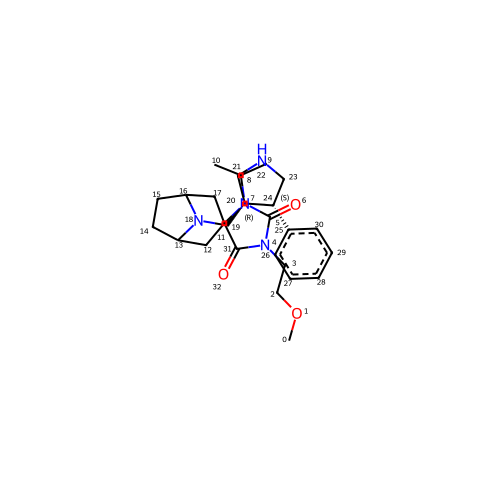 COCCN1C(=O)N(C(C)C)C2(CC3CCC(C2)N3C[C@H]2CNC[C@@H]2c2ccccc2)C1=O